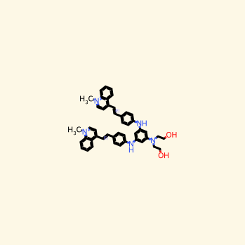 C[n+]1ccc(/C=C/c2ccc(Nc3cc(Nc4ccc(/C=C/c5cc[n+](C)c6ccccc56)cc4)cc(N(CCO)CCO)c3)cc2)c2ccccc21